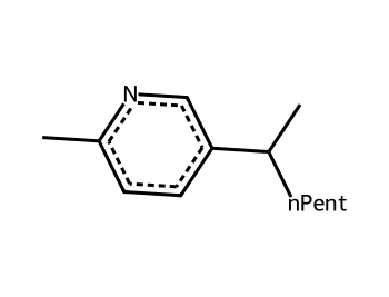 CCCCCC(C)c1ccc(C)nc1